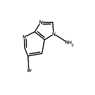 Nn1cnc2ncc(Br)cc21